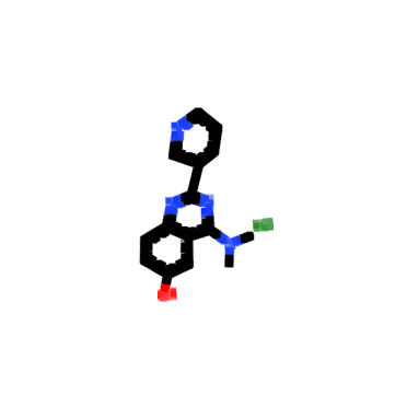 CN(C)c1nc(-c2cccnc2)nc2ccc(O)cc12.Cl